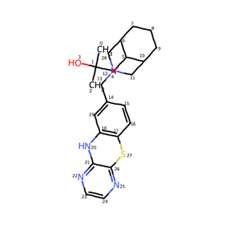 CC(C)(O)CC1C2CCCC1CN(Cc1ccc3c(c1)Nc1nccnc1S3)C2